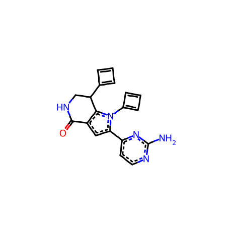 Nc1nccc(-c2cc3c(n2C2=CC=C2)C(C2=CC=C2)CNC3=O)n1